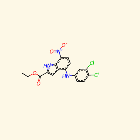 CCOC(=O)c1cc2c(Nc3ccc(Cl)c(Cl)c3)ccc([N+](=O)[O-])c2[nH]1